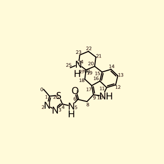 Cc1nnc(NC(=O)Cc2[nH]c3cccc4c3c2C[C@@H]2C4CCCN2C)s1